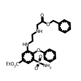 CCOC(=O)c1cc(NCCNCC(=O)OCc2ccccc2)c(Oc2ccccc2)c(S(N)(=O)=O)c1